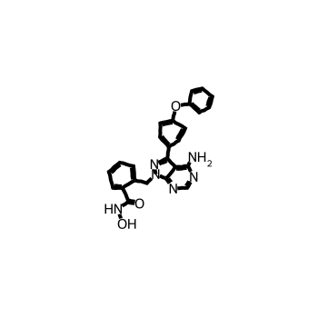 Nc1ncnc2c1c(-c1ccc(Oc3ccccc3)cc1)nn2Cc1ccccc1C(=O)NO